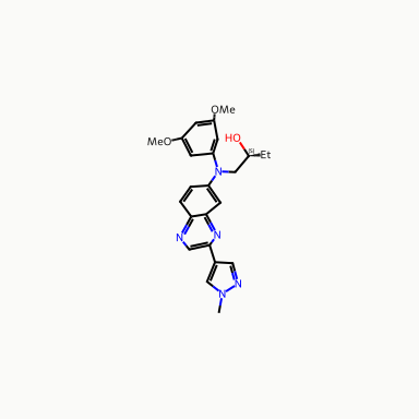 CC[C@H](O)CN(c1cc(OC)cc(OC)c1)c1ccc2ncc(-c3cnn(C)c3)nc2c1